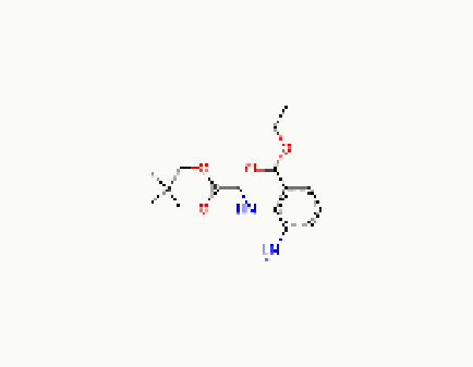 CCOC(=O)c1cccc(N)c1NCB1OCC(C)(C)CO1